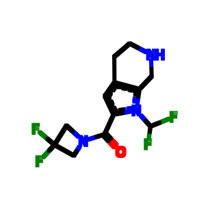 O=C(c1cc2c(n1C(F)F)CNCC2)N1CC(F)(F)C1